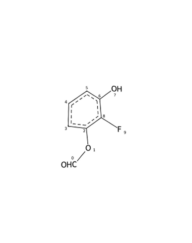 O=COc1cccc(O)c1F